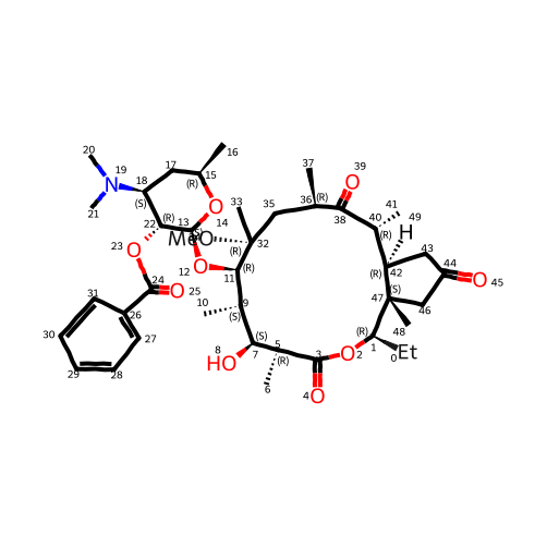 CC[C@H]1OC(=O)[C@H](C)[C@@H](O)[C@H](C)[C@@H](O[C@@H]2O[C@H](C)C[C@H](N(C)C)[C@H]2OC(=O)c2ccccc2)[C@](C)(OC)C[C@@H](C)C(=O)[C@H](C)[C@H]2CC(=O)C[C@@]21C